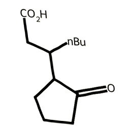 CCCCC(CC(=O)O)C1CCCC1=O